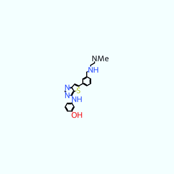 CNCCNCc1cccc(-c2cc3ncnc(Nc4cccc(O)c4)c3s2)c1